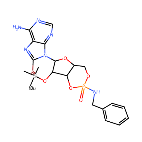 CC(C)(C)[Si](C)(C)OC1C2OP(=O)(NCc3ccccc3)OCC2OC1n1c(Br)nc2c(N)ncnc21